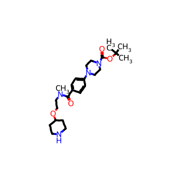 CN(CCOC1CCNCC1)C(=O)c1ccc(N2CCN(C(=O)OC(C)(C)C)CC2)cc1